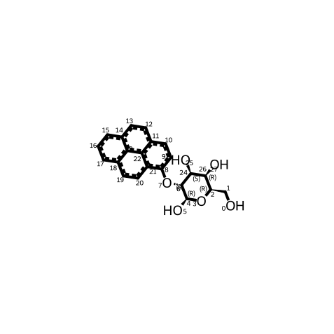 OC[C@H]1O[C@@H](O)[C@H](Oc2ccc3ccc4cccc5ccc2c3c45)[C@@H](O)[C@H]1O